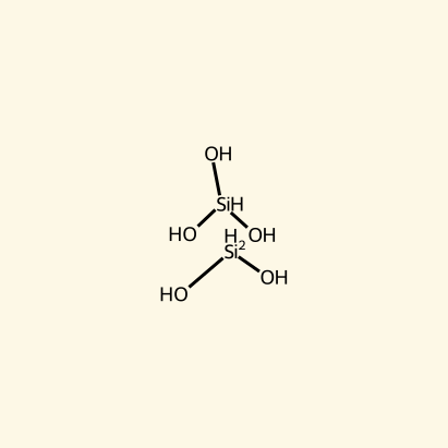 O[SiH2]O.O[SiH](O)O